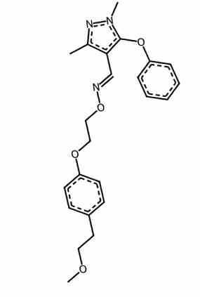 COCCc1ccc(OCCON=Cc2c(C)nn(C)c2Oc2ccccc2)cc1